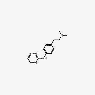 CN(C)CCc1ccc(Nc2ncccn2)cc1